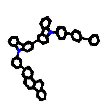 c1ccc(-c2ccc(-c3ccc(-n4c5ccccc5c5cc(-c6ccc7c(c6)c6ccccc6n7-c6cccc(-c7ccc8c(ccc9c%10ccccc%10ccc89)c7)c6)ccc54)cc3)cc2)cc1